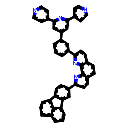 c1cc(-c2cc(-c3ccncc3)nc(-c3ccncc3)c2)cc(-c2ccc3ccc4ccc(-c5ccc6c(c5)-c5cccc7cccc-6c57)nc4c3n2)c1